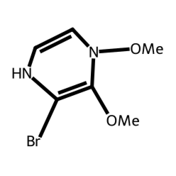 COC1=C(Br)NC=CN1OC